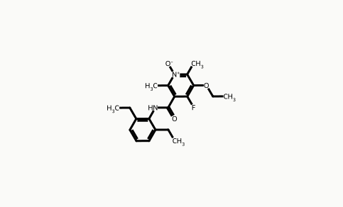 CCOc1c(F)c(C(=O)Nc2c(CC)cccc2CC)c(C)[n+]([O-])c1C